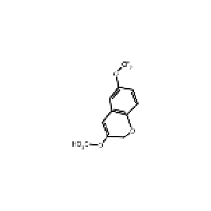 O=C(O)OC1=Cc2cc(OC(F)(F)F)ccc2OC1